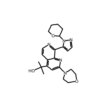 CC(C)(O)c1cc(N2CCOCC2)nc2c(-c3ccnn3C3CCCCO3)nccc12